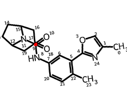 Cc1coc(-c2cc(NC(=O)N3C4CCC3CC(=O)C4)ccc2C)n1